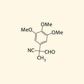 COc1cc(C(C)(C#N)C=O)cc(OC)c1OC